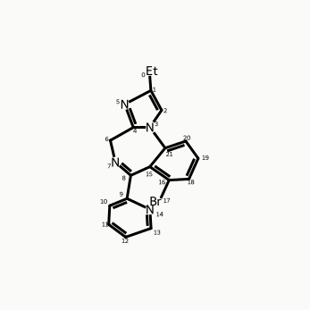 CCc1cn2c(n1)CN=C(c1ccccn1)c1c(Br)cccc1-2